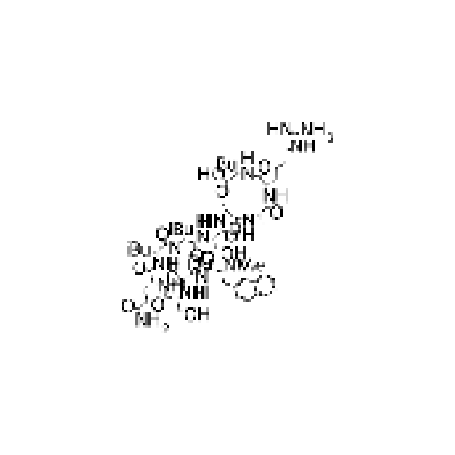 CC[C@H](C)[C@H](NC(=O)[C@@H](Cc1ccc2ccccc2c1)NC)C(=O)N[C@@H](CO)C(=O)N[C@H](CCC(N)=O)C(=O)N[C@@H](C(=O)N[C@H](C(=O)N[C@@H](CO)C(=O)N[C@H]1C(=O)N[C@@H](C)C(=O)N[C@@H](CCCCNC(=N)N)C(=O)N[C@@H]([C@@H](C)CC)C(O)O[C@H]1C)[C@@H](C)CC)[C@@H](C)CC